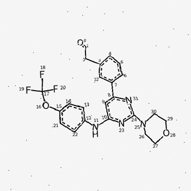 O=CCc1cccc(-c2cc(Nc3ccc(OC(F)(F)F)cc3)nc(N3CCOCC3)n2)c1